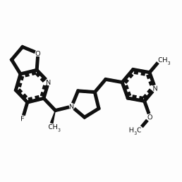 COc1cc(CC2CCN([C@@H](C)c3nc4c(cc3F)CCO4)C2)cc(C)n1